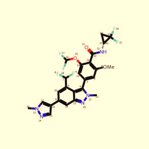 COc1cc(-c2c3c(C(F)F)cc(-c4cnn(C)c4)cc3nn2C)cc(OC(F)F)c1C(=O)N[C@@H]1CC1(F)F